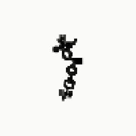 CCNc1cc(Nc2ccc(N3CCC(C(F)(F)F)CC3)cc2)ccc1C(=O)NC